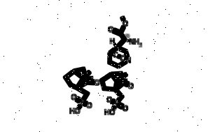 CC1(C)C2CCC1(CS(=O)(=O)O)C(=O)C2.CC1(C)C2CCC1(CS(=O)(=O)O)C(=O)C2.COC(=O)[C@H](N)[C@H]1CN2CCC1CC2